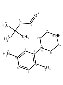 CC(C)(C)OC=O.Cc1ccc(N)cc1N1CCNCC1